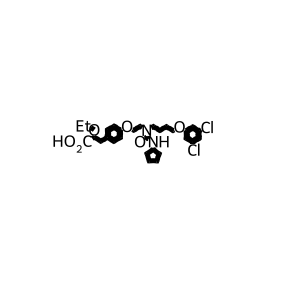 CCOC(Cc1ccc(OCCN(CCCCOc2cc(Cl)cc(Cl)c2)C(=O)NC2CCCC2)cc1)C(=O)O